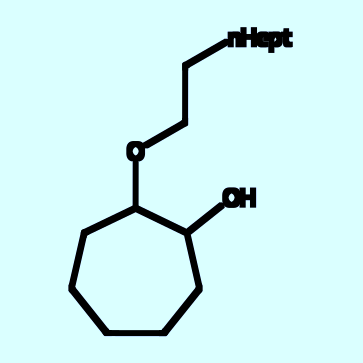 CCCCCCCCCOC1CCCCCC1O